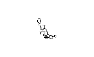 CC(C)c1cc(/C=C2\C(=O)Nc3ccc(Cl)cc32)cc(C(C)C)c1OCCN1CCOCC1